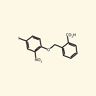 O=C(O)c1ccccc1COc1ccc(I)cc1[N+](=O)[O-]